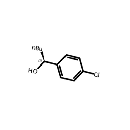 CCCC[C@H](O)c1ccc(Cl)cc1